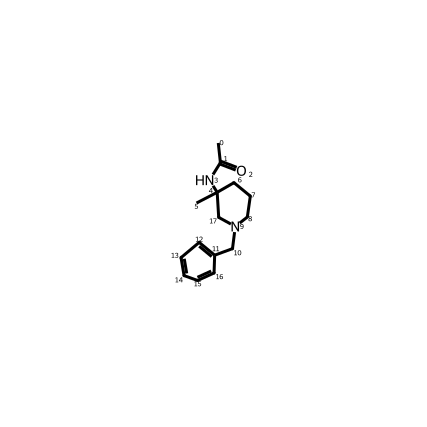 CC(=O)NC1(C)CCCN(Cc2ccccc2)C1